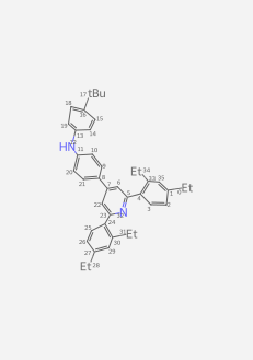 CCc1ccc(-c2cc(-c3ccc(Nc4ccc(C(C)(C)C)cc4)cc3)cc(-c3ccc(CC)cc3CC)n2)c(CC)c1